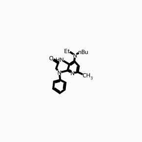 CCCCN(CC)c1cc(C)nc2c1NC(=O)CN2c1ccccc1